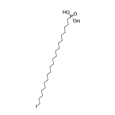 O=P(O)(O)CCCCCCCCCCCCCCCCCCCCCCI